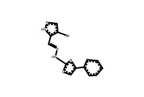 Brc1cn[nH]c1/C=N/Nc1nc(-c2ccccc2)cs1